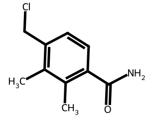 Cc1c(CCl)ccc(C(N)=O)c1C